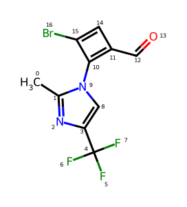 Cc1nc(C(F)(F)F)cn1C1=C(C=O)C=C1Br